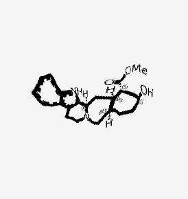 COC(=O)[C@H]1[C@@H]2C[C@@H]3c4[nH]c5ccccc5c4CCN3C[C@@H]2CC[C@@H]1O